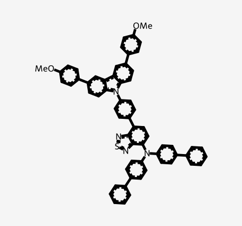 COc1ccc(-c2ccc3c(c2)c2cc(-c4ccc(OC)cc4)ccc2n3-c2ccc(-c3ccc(N(c4ccc(-c5ccccc5)cc4)c4ccc(-c5ccccc5)cc4)c4nsnc34)cc2)cc1